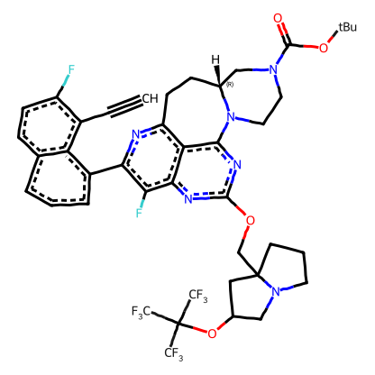 C#Cc1c(F)ccc2cccc(-c3nc4c5c(nc(OCC67CCCN6CC(OC(C(F)(F)F)(C(F)(F)F)C(F)(F)F)C7)nc5c3F)N3CCN(C(=O)OC(C)(C)C)C[C@H]3CC4)c12